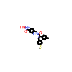 CSc1ccc(/C=C(/C(=O)NCc2ccc(C(=O)NO)cc2)c2ccc(C)cc2)cc1